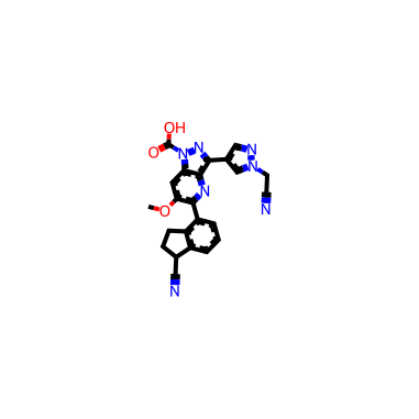 COc1cc2c(nc1-c1cccc3c1CCC3C#N)c(-c1cnn(CC#N)c1)nn2C(=O)O